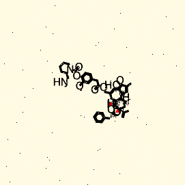 C=C(C)[C@]12C[C@@H](C)[C@@]34O[C@](Cc5ccccc5)(O[C@@H]1[C@@H]3CC(COC(=O)Cc1ccc(OC(=O)N3CCCCC3CNC)c(OC)c1)=C[C@]1(O)C(=O)C(C)=C[C@@H]41)O2